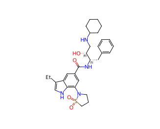 CCc1c[nH]c2c(N3CCCS3(=O)=O)cc(C(=O)N[C@@H](Cc3ccccc3)[C@H](O)CNC3CCCCC3)cc12